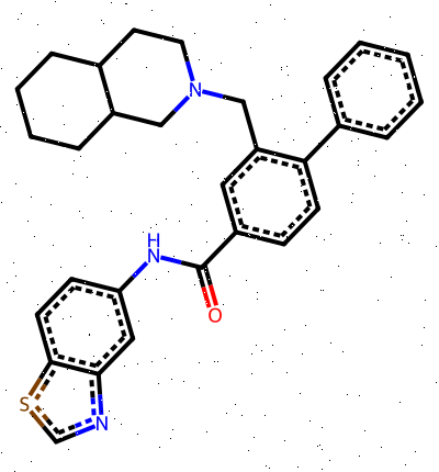 O=C(Nc1ccc2scnc2c1)c1ccc(-c2ccccc2)c(CN2CCC3CCCCC3C2)c1